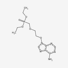 CCOP(=O)(COCCOn1cnc2c(N)ncnc21)OCC